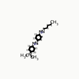 CCCCC/N=N/c1ccc(/N=N/c2ccc(N(C)C)cc2)cc1